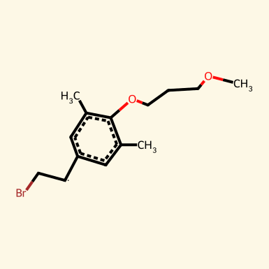 COCCCOc1c(C)cc([CH]CBr)cc1C